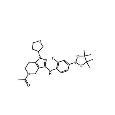 CC(=O)N1CCc2c(c(Nc3ccc(B4OC(C)(C)C(C)(C)O4)cc3F)nn2C2CCOC2)C1